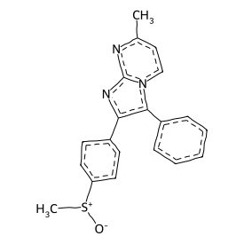 Cc1ccn2c(-c3ccccc3)c(-c3ccc([S+](C)[O-])cc3)nc2n1